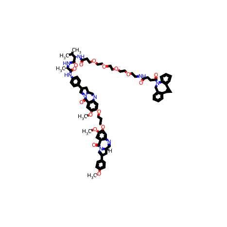 COc1ccc(C2=CN3C(=O)c4cc(OC)c(OCCCOc5cc6c(cc5OC)C(=O)N5C=C(c7ccc(NC(=O)[C@H](C)NC(=O)[C@@H](NC(=O)CCOCCOCCOCCOCCNC(=O)CCC(=O)N8Cc9ccccc9C9=C(C9)c9ccccc98)C(C)C)cc7)CC5C=N6)cc4N=C[C@@H]3C2)cc1